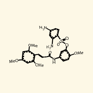 COc1cc(OC)c(/C=C/C(=O)Nc2ccc(OC)c(OS(=O)(=O)c3ccc(N)cc3N)c2)c(OC)c1